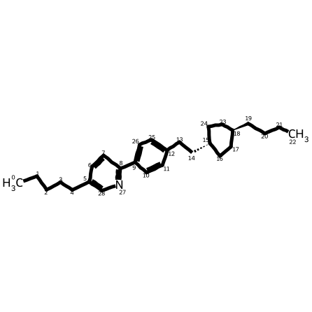 CCCCCc1ccc(-c2ccc(CC[C@H]3CC[C@H](CCCC)CC3)cc2)nc1